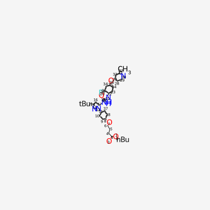 CCCCOC(=O)CCCOc1ccc(-n2nc(C(C)(C)C)cc2NC(=O)Nc2ccc(Oc3ccnc(C)c3)cc2F)cc1